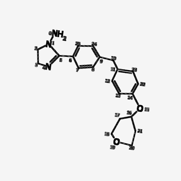 NN1CCN=C1c1ccc(Cc2ccc(OC3CCOCC3)cc2)cc1